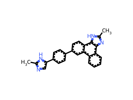 Cc1ncc(-c2ccc(-c3ccc4c(c3)c3ccccc3c3nc(C)[nH]c43)cc2)[nH]1